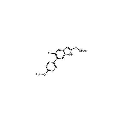 CC(=O)NCc1cc2cc(Cl)c(-c3ccc(OC(F)(F)F)cn3)cc2[nH]1